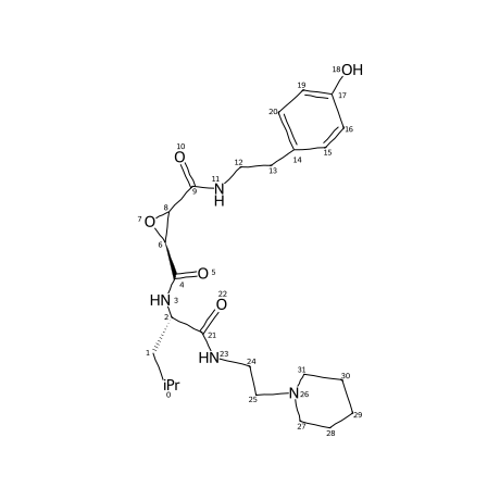 CC(C)C[C@H](NC(=O)[C@H]1OC1C(=O)NCCc1ccc(O)cc1)C(=O)NCCN1CCCCC1